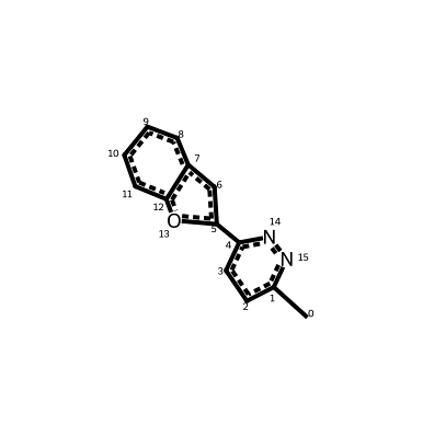 Cc1ccc(-c2cc3ccccc3o2)nn1